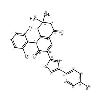 CCc1cccc(CC)c1-n1c2c(cc(-c3nc(-c4ccc(O)cc4)cs3)c1=O)C(=O)CC(C)(C)C2